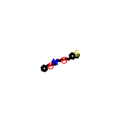 c1ccc(COC2CN(CCCOCCc3ccc4sccc4c3)C2)cc1